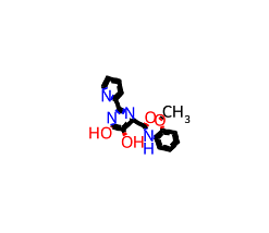 COc1ccccc1NC(=O)c1nc(-c2ccccn2)nc(O)c1O